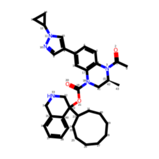 CC(=O)N1c2ccc(-c3cnn(C4CC4)c3)cc2N(C(=O)OC2(C3CCCCCCCC3)CNCc3ccccc32)C[C@@H]1C